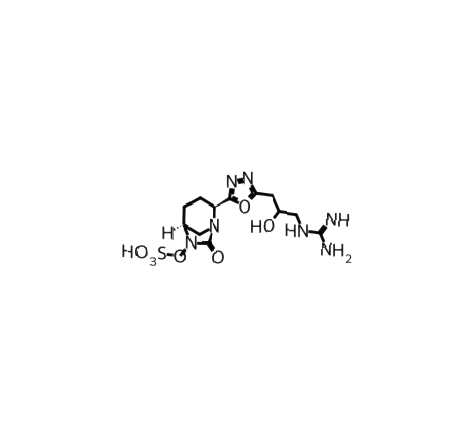 N=C(N)NCC(O)Cc1nnc([C@@H]2CC[C@H]3CN2C(=O)N3OS(=O)(=O)O)o1